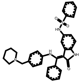 O=C1Nc2ccc(NS(=O)(=O)c3ccccc3)cc2C1=C(Nc1ccc(CN2CCCCC2)cc1)c1ccccc1